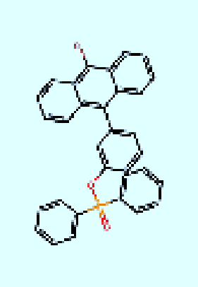 O=P(Oc1cccc(-c2c3ccccc3c(Br)c3ccccc23)c1)(c1ccccc1)c1ccccc1